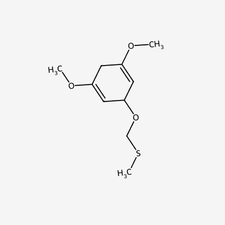 COC1=CC(OCSC)C=C(OC)C1